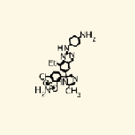 CCc1cc(C2(c3ccc(Cl)c(S(N)(=O)=O)c3)C=NC=C(C)N2)cc2cnc(NC3CCC(N)CC3)nc12